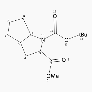 COC(=O)C1CC2CCCC2N1C(=O)OC(C)(C)C